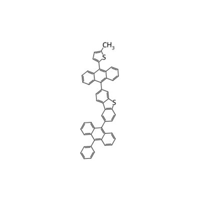 Cc1ccc(-c2c3ccccc3c(-c3ccc4c(c3)sc3ccc(-c5c6ccccc6c(-c6ccccc6)c6ccccc56)cc34)c3ccccc23)s1